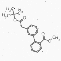 COC(=O)c1ccccc1-c1cccc(CC(=O)OC(C)(C)C)c1